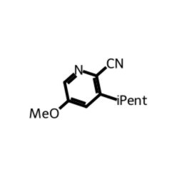 CCCC(C)c1cc(OC)cnc1C#N